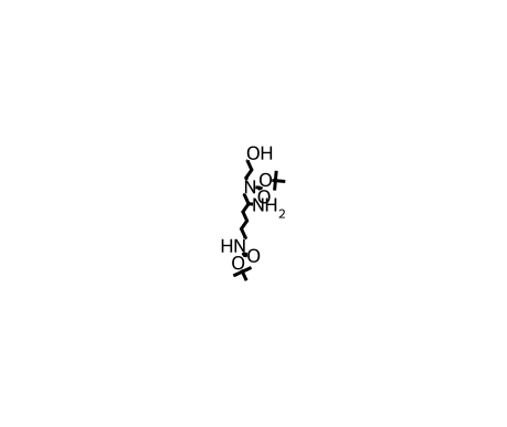 CC(C)(C)OC(=O)NCCCCC(N)CN(CCCO)C(=O)OC(C)(C)C